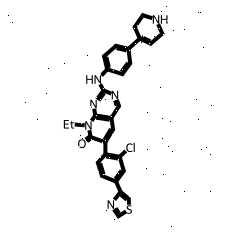 CCn1c(=O)c(-c2ccc(-c3cscn3)cc2Cl)cc2cnc(Nc3ccc(C4=CCNCC4)cc3)nc21